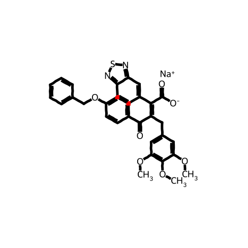 COc1cc(C/C(C(=O)c2ccc(OCc3ccccc3)cc2)=C(\C(=O)[O-])c2ccc3nsnc3c2)cc(OC)c1OC.[Na+]